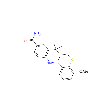 COc1cccc2c1SCC1C2Nc2ccc(C(N)=O)cc2C1(C)C